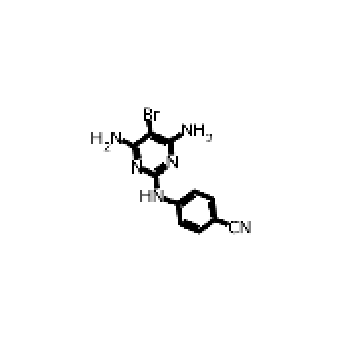 N#Cc1ccc(Nc2nc(N)c(Br)c(N)n2)cc1